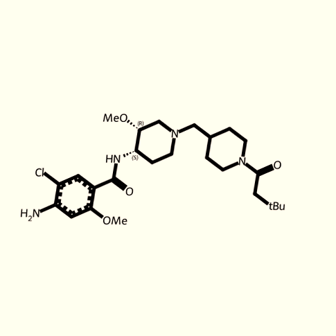 COc1cc(N)c(Cl)cc1C(=O)N[C@H]1CCN(CC2CCN(C(=O)CC(C)(C)C)CC2)C[C@H]1OC